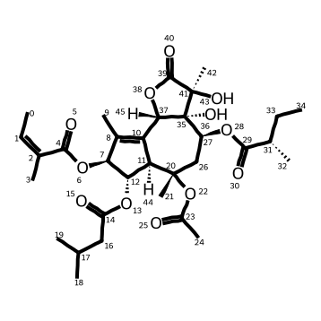 C/C=C(/C)C(=O)O[C@H]1C(C)=C2[C@H]([C@@H]1OC(=O)CC(C)C)[C@@](C)(OC(C)=O)C[C@H](OC(=O)[C@@H](C)CC)[C@@]1(O)[C@H]2OC(=O)[C@@]1(C)O